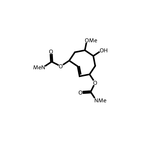 CNC(=O)OC1/C=C/C(OC(=O)NC)CC(OC)C(O)C1